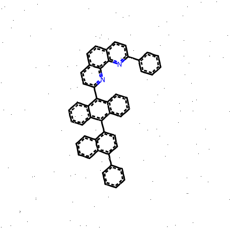 c1ccc(-c2ccc3ccc4ccc(-c5c6ccccc6c(-c6ccc(-c7ccccc7)c7ccccc67)c6ccccc56)nc4c3n2)cc1